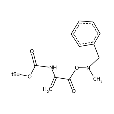 C=C(NC(=O)OC(C)(C)C)C(=O)ON(C)Cc1ccccc1